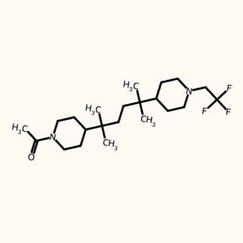 CC(=O)N1CCC(C(C)(C)CCC(C)(C)C2CCN(CC(F)(F)F)CC2)CC1